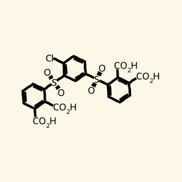 O=C(O)c1cccc(S(=O)(=O)c2ccc(Cl)c(S(=O)(=O)c3cccc(C(=O)O)c3C(=O)O)c2)c1C(=O)O